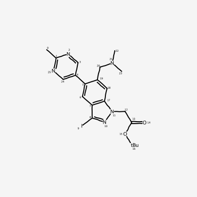 Cc1ncc(-c2cc3c(I)nn(CC(=O)OC(C)(C)C)c3cc2CN(C)C)cn1